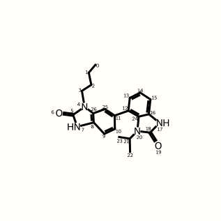 CCCCn1c(=O)[nH]c2ccc(-c3cccc4[nH]c(=O)n(C(C)C)c34)[c]c21